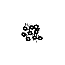 Cc1cccc(N(c2ccccc2)c2cc(N(c3ccccc3)c3cccc(C)c3)cc(N(c3ccc4oc5ccccc5c4c3)c3cccc4c3oc3ccccc34)c2)c1